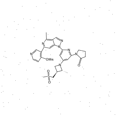 COc1ccncc1-c1cc2c(cnn2-c2cc(N3C[C@H](CS(C)(=O)=O)[C@H]3C)cc(N3CCCC3=O)n2)c(C)n1